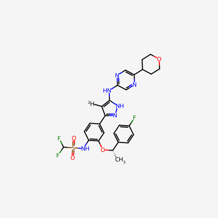 [2H]c1c(-c2ccc(NS(=O)(=O)C(F)F)c(O[C@@H](C)c3ccc(F)cc3)c2)n[nH]c1Nc1cnc(C2CCOCC2)cn1